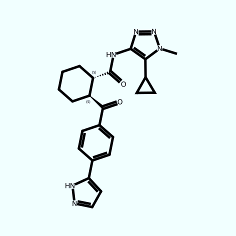 Cn1nnc(NC(=O)[C@H]2CCCC[C@@H]2C(=O)c2ccc(-c3ccn[nH]3)cc2)c1C1CC1